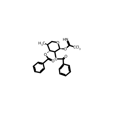 C[C@H]1CO[C@@H](OC(=N)C(Cl)(Cl)Cl)C(OC(=O)c2ccccc2)[C@@H]1OC(=O)c1ccccc1